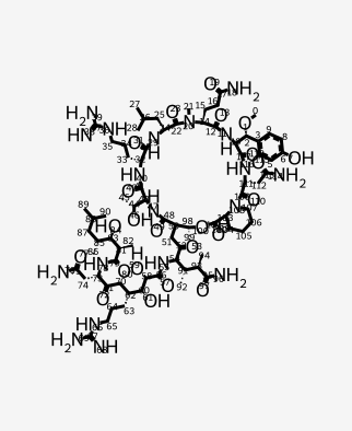 CO[C@H](c1ccc(O)cc1)C1NC(=O)[C@H](CCC(N)=O)N(C)C(=O)[C@H](CC(C)C)NC(=O)[C@@H](CCCNC(=N)N)NC(=O)C([C@@H](C)O)NC(=O)C(CC(=O)C(NC(=O)[C@H](O)[C@H](O)[C@H](CCCNC(=N)N)CC(=O)[C@H](CC(N)=O)NC(=O)[C@H](C)[C@H](O)[C@H](C)CC(C)C)[C@@H](C)[C@@H](C)C(N)=O)[C@@H](C)OC(=O)[C@@H]2CCCCN2C(=O)[C@@H](CC(N)=O)NC1=O